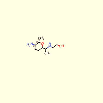 CC(NCCO)C1CC[C@@H](N)[C@@H](C)O1